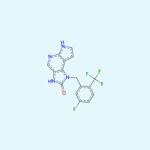 O=c1[nH]c2cnc3[nH]ccc3c2n1Cc1cc(F)ccc1C(F)(F)F